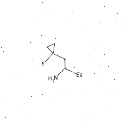 CCC(N)CC1(F)CC1